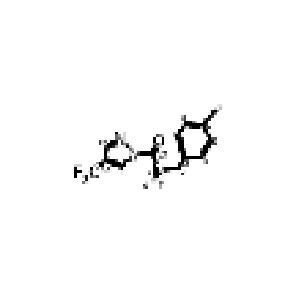 CCN(Cc1ccc(C)cc1)C(=O)n1cc(C(F)(F)F)cn1